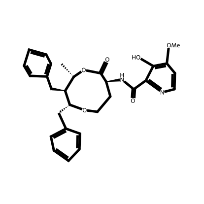 COc1ccnc(C(=O)N[C@H]2CCO[C@H](Cc3ccccc3)[C@@H](Cc3ccccc3)[C@H](C)OC2=O)c1O